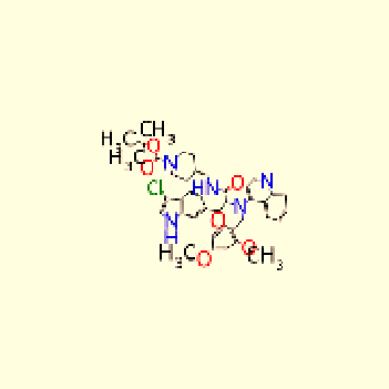 COc1ccc(CN(c2ccnc3ccccc23)C(C(=O)NCC2CCN(C(=O)OC(C)(C)C)CC2)C(=O)c2ccc3c(Cl)c[nH]c3c2)c(OC)c1